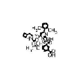 Cc1cccc(C)c1-c1cc(OC[C@@H](CC2CCC2)NC(=O)OC(C)(C)C)nc(NS(=O)(=O)c2cccc(C(=O)O)c2)n1